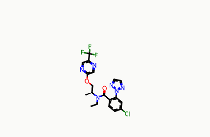 CCN(C(=O)c1ccc(Cl)cc1-n1nccn1)[C@@H](C)COc1cnc(C(F)(F)F)cn1